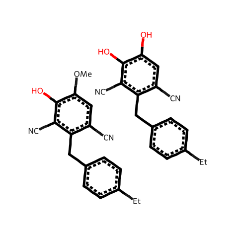 CCc1ccc(Cc2c(C#N)cc(O)c(O)c2C#N)cc1.CCc1ccc(Cc2c(C#N)cc(OC)c(O)c2C#N)cc1